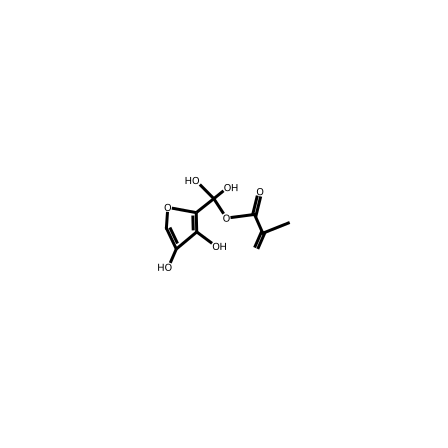 C=C(C)C(=O)OC(O)(O)c1occ(O)c1O